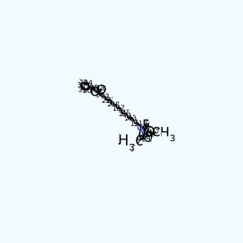 CCOP(=O)(OCC)/C(F)=C/CCCCCCCCCCCCCCC(=O)OCc1ccccc1